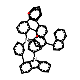 c1ccc(-c2ccccc2-c2c(-c3ccccc3)cccc2N(c2ccc(-c3cccc4ccccc34)cc2)c2cccc(-c3cccc4c5ccccc5n(-c5ccccc5)c34)c2)cc1